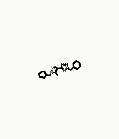 Ic1c(-c2nnn(Cc3ccccc3)n2)cnn1Cc1ccccc1